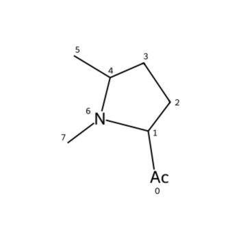 CC(=O)C1CCC(C)N1C